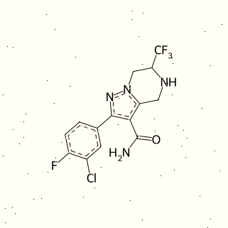 NC(=O)c1c(-c2ccc(F)c(Cl)c2)nn2c1CNC(C(F)(F)F)C2